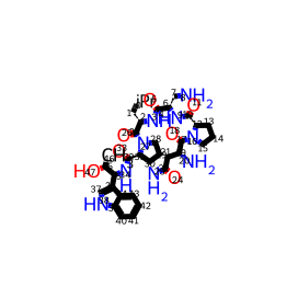 CC(C)C[C@H](NC(=O)[C@H](CN)NC(=O)[C@@H]1CCCN1C(=O)[C@@H](N)CC(N)=O)C(=O)N1CCC[C@H]1C(=O)NC(c1c[nH]c2ccccc12)C(C)O